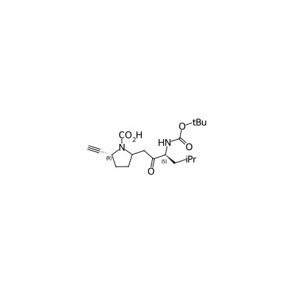 C#C[C@H]1CCC(CC(=O)[C@H](CC(C)C)NC(=O)OC(C)(C)C)N1C(=O)O